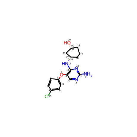 Nc1ncc(Oc2ccc(Cl)cc2)c(N[C@H]2CCC[C@@H](O)C2)n1